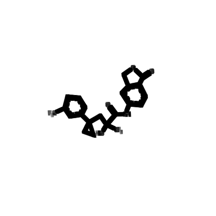 O=C1OCc2cc(NC(=O)C(O)(CC3(c4cccc(C(F)(F)F)c4)CC3)C(F)(F)F)ccc21